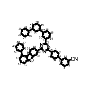 N#Cc1cccc(-c2ccc(-c3nc(-c4cccc(-c5cccc(-c6ccccc6)c5)c4)nc(-c4ccc5c(c4)oc4cccc(-c6ccccc6)c45)n3)cc2)c1